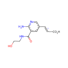 Nc1ncc(/C=C/C(=O)O)cc1C(=O)NCCO